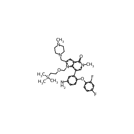 CN1CCN(Cc2cc3c(=O)n(C)cc(-c4cc(N)ccc4Oc4ccc(F)cc4F)c3n2COCC[Si](C)(C)C)CC1